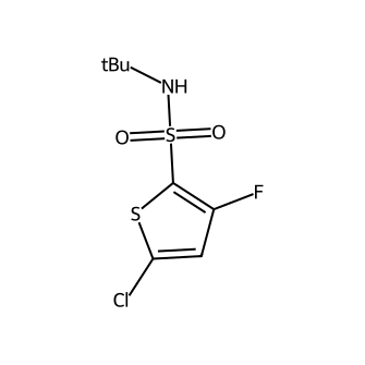 CC(C)(C)NS(=O)(=O)c1sc(Cl)cc1F